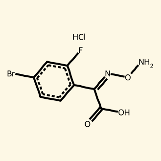 Cl.NON=C(C(=O)O)c1ccc(Br)cc1F